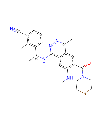 CNc1cc2c(N[C@H](C)c3cccc(C#N)c3C)nnc(C)c2cc1C(=O)N1CCSCC1